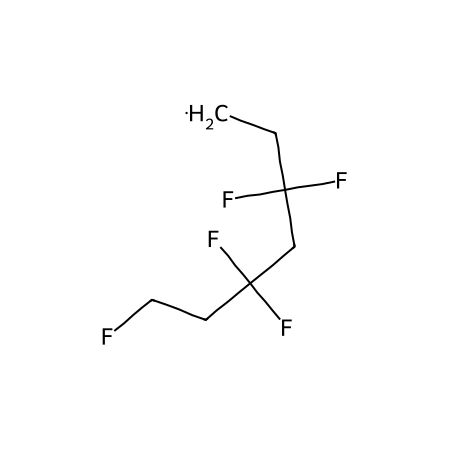 [CH2]CC(F)(F)CC(F)(F)CCF